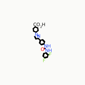 O=C(Nc1ccc(-c2ccn(C3CCC(C(=O)O)CC3)n2)cc1)Nc1ccc(F)cc1F